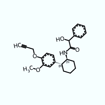 C#CCOc1ccc([C@H]2CCCC[C@@H]2NC(=O)C(O)c2ccccc2)cc1OC